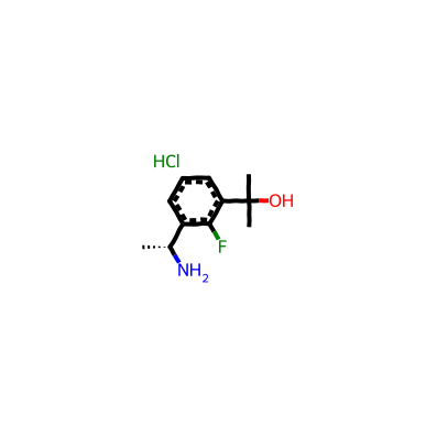 C[C@@H](N)c1cccc(C(C)(C)O)c1F.Cl